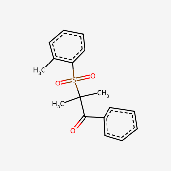 Cc1ccccc1S(=O)(=O)C(C)(C)C(=O)c1ccccc1